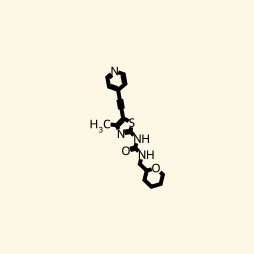 Cc1nc(NC(=O)NCC2CCCCO2)sc1C#Cc1ccncc1